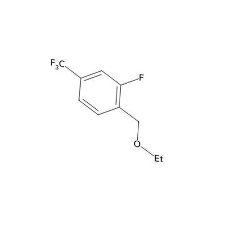 [CH2]COCc1ccc(C(F)(F)F)cc1F